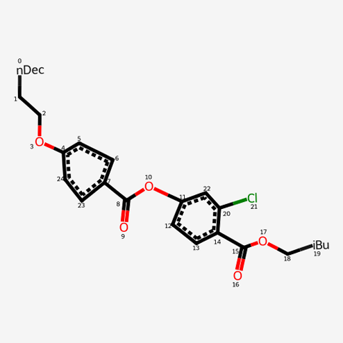 CCCCCCCCCCCCOc1ccc(C(=O)Oc2ccc(C(=O)OCC(C)CC)c(Cl)c2)cc1